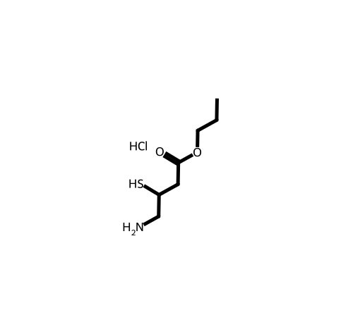 CCCOC(=O)CC(S)CN.Cl